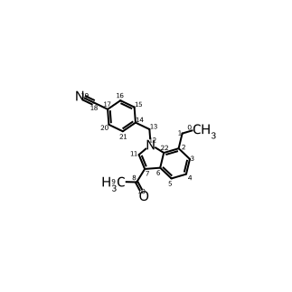 CCc1cccc2c(C(C)=O)cn(Cc3ccc(C#N)cc3)c12